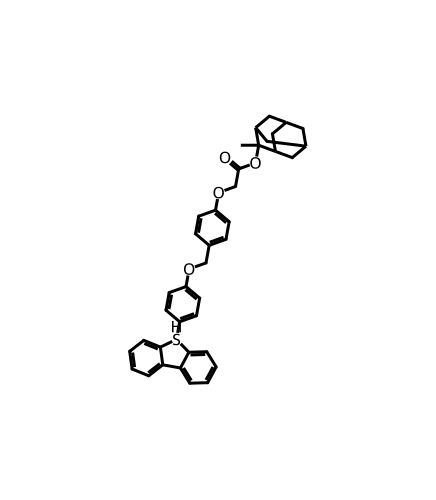 CC1(OC(=O)COc2ccc(COc3ccc([SH]4c5ccccc5-c5ccccc54)cc3)cc2)C2CC3CC(C2)CC1C3